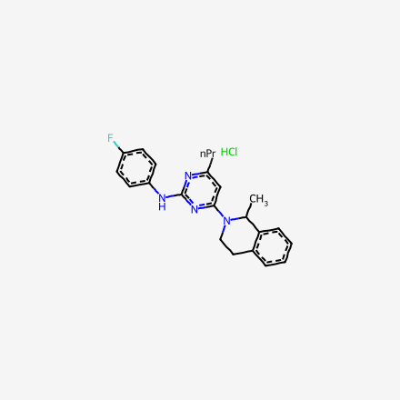 CCCc1cc(N2CCc3ccccc3C2C)nc(Nc2ccc(F)cc2)n1.Cl